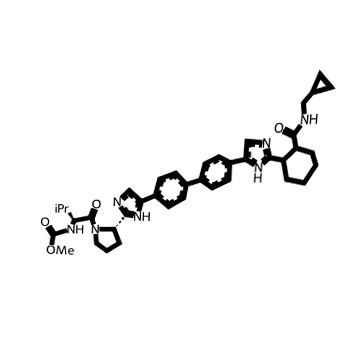 COC(=O)N[C@H](C(=O)N1CCC[C@H]1c1ncc(-c2ccc(-c3ccc(-c4cnc(C5CCCCC5C(=O)NCC5CC5)[nH]4)cc3)cc2)[nH]1)C(C)C